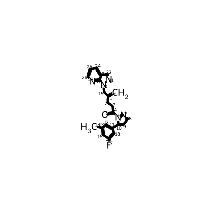 C=C(CCC(=O)N1N=CCC1c1cc(C)cc(F)c1)Cn1ncc2cccnc21